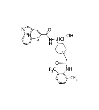 Cl.Cl.O=C(CN1CCC(CNC(=O)C2=Cc3cnc4cccc(n34)S2)CC1)Nc1c(C(F)(F)F)cccc1C(F)(F)F